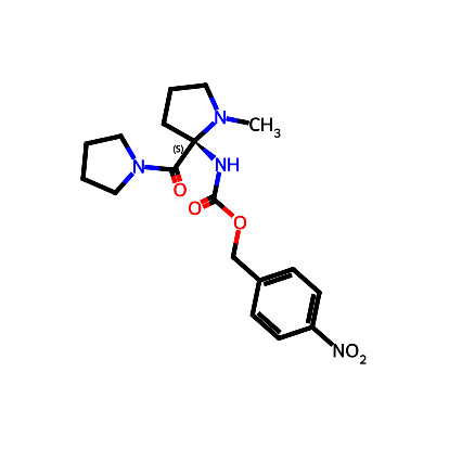 CN1CCC[C@@]1(NC(=O)OCc1ccc([N+](=O)[O-])cc1)C(=O)N1CCCC1